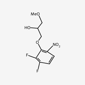 COCC(O)COc1c([N+](=O)[O-])ccc(F)c1F